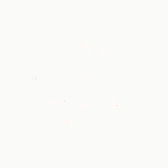 C=C(C)CC(=O)C(=O)O.CC(C)(O)CC(=O)C(=O)O